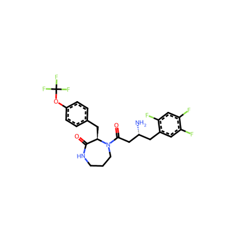 N[C@@H](CC(=O)N1CCCNC(=O)[C@H]1Cc1ccc(OC(F)(F)F)cc1)Cc1cc(F)c(F)cc1F